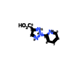 O=C(O)c1cnn(-c2ccccn2)n1